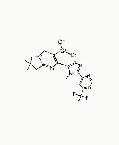 CC[S+]([O-])c1cc2c(nc1-c1nnc(-c3cc(C(C)(F)F)ncn3)n1C)CC(C)(C)C2